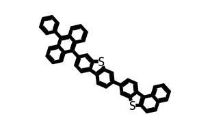 c1ccc(-c2c3ccccc3c(-c3ccc4c(c3)sc3cc(-c5ccc6c(c5)sc5ccc7ccccc7c56)ccc34)c3ccccc23)cc1